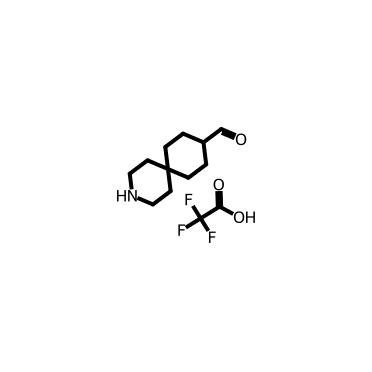 O=C(O)C(F)(F)F.O=CC1CCC2(CCNCC2)CC1